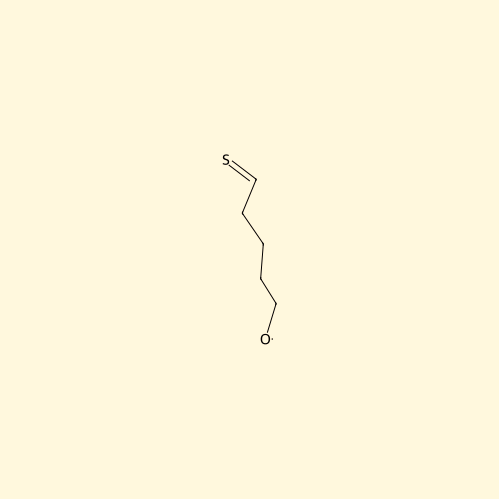 [O]CCCCC=S